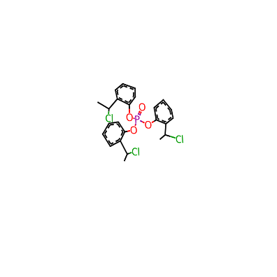 CC(Cl)c1ccccc1OP(=O)(Oc1ccccc1C(C)Cl)Oc1ccccc1C(C)Cl